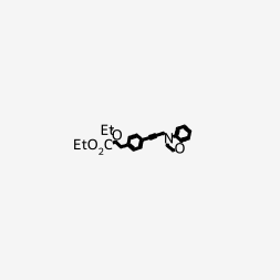 CCOC(=O)C(Cc1ccc(C#CCN2CCOc3ccccc32)cc1)OCC